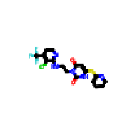 O=c1cc(Sc2ccccn2)[nH]c(=O)n1CCNc1nccc(C(F)(F)F)c1Cl